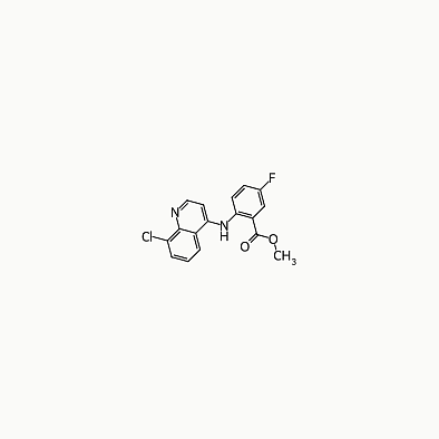 COC(=O)c1cc(F)ccc1Nc1ccnc2c(Cl)cccc12